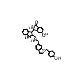 O=C1NC(C2c3ccccc3NC2CNCc2ccc3ccn(CC4=CC=C(O)CC4)c3c2)c2cc(O)ccc21